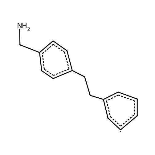 NCc1ccc(CCc2c[c]ccc2)cc1